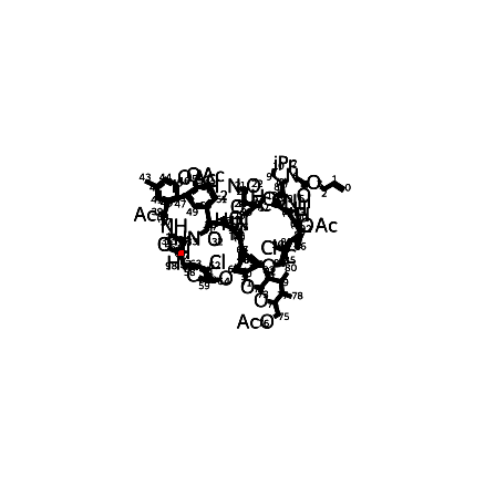 C=CCOC(=O)N(C)[C@H](CC(C)C)C(=O)N[C@H]1C(=O)C[C@@H](CC(N)=O)C(=O)N[C@H]2C(=O)C[C@H]3C(=O)N[C@H](C(=O)N[C@H](C(C)=O)c4cc(C)cc(OC(C)=O)c4-c4cc3ccc4OC(C)=O)[C@H](C)c3ccc(c(Cl)c3)Oc3cc2cc(c3OC2OC(COC(C)=O)C(C)C(C)C2C)Oc2ccc(cc2Cl)[C@H]1OC(C)=O